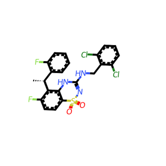 C[C@H](c1ccccc1F)c1c(F)ccc2c1NC(NCc1c(Cl)cccc1Cl)=NS2(=O)=O